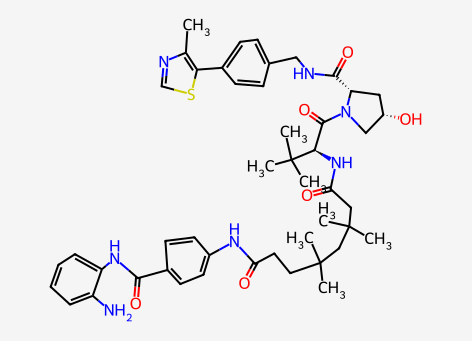 Cc1ncsc1-c1ccc(CNC(=O)[C@@H]2C[C@H](O)CN2C(=O)[C@@H](NC(=O)CC(C)(C)CC(C)(C)CCC(=O)Nc2ccc(C(=O)Nc3ccccc3N)cc2)C(C)(C)C)cc1